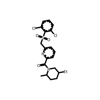 CCC1CCC(C)N(C(=O)c2cccc(CS(=O)(=O)c3c(Cl)cccc3Cl)n2)C1